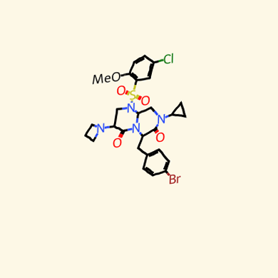 COc1ccc(Cl)cc1S(=O)(=O)N1CC(N2CCC2)C(=O)N2C(Cc3ccc(Br)cc3)C(=O)N(C3CC3)CC21